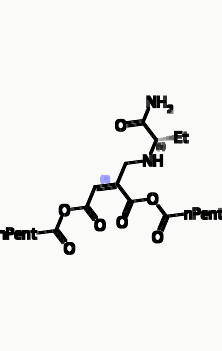 CCCCCC(=O)OC(=O)/C=C(/CN[C@@H](CC)C(N)=O)C(=O)OC(=O)CCCCC